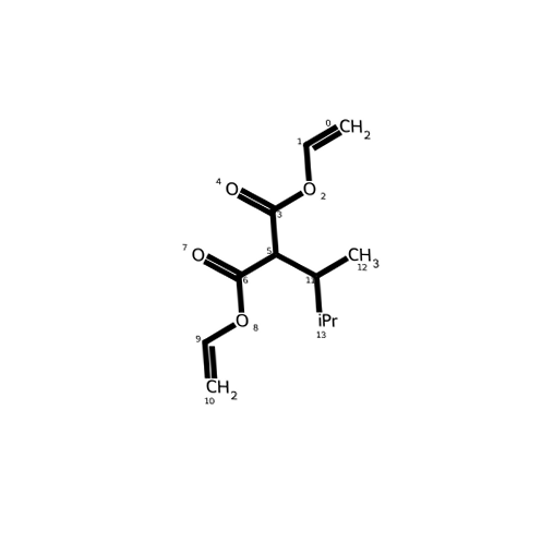 C=COC(=O)C(C(=O)OC=C)C(C)C(C)C